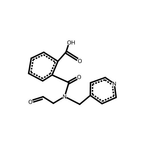 O=CCN(Cc1ccncc1)C(=O)c1ccccc1C(=O)O